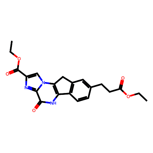 CCOC(=O)CCc1ccc2c(c1)Cc1c-2[nH]c(=O)c2nc(C(=O)OCC)cn12